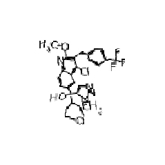 COc1nc2ccc(C(O)(c3cnnn3C)C3CCOCC3)cc2c(Cl)c1Cc1ccc(C(F)(F)F)cc1